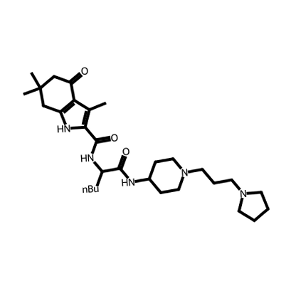 CCCCC(NC(=O)c1[nH]c2c(c1C)C(=O)CC(C)(C)C2)C(=O)NC1CCN(CCCN2CCCC2)CC1